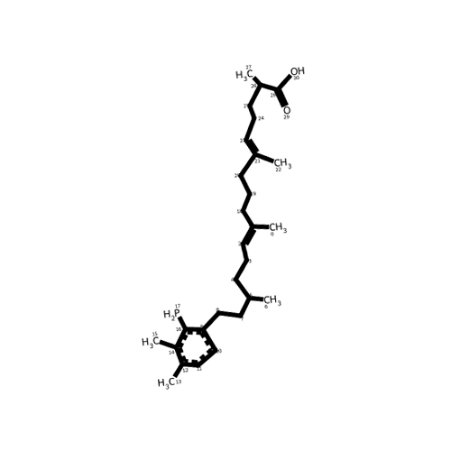 C/C(=C\CCC(C)CCc1ccc(C)c(C)c1P)CCC/C(C)=C/CCC(C)C(=O)O